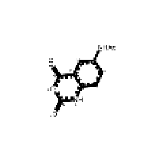 CC(=O)Nc1ccc2[nH]c(=O)oc(=O)c2c1